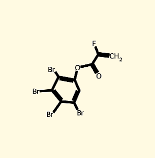 C=C(F)C(=O)Oc1cc(Br)c(Br)c(Br)c1Br